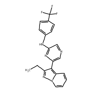 CCc1nn2ccccc2c1-c1cncc(Nc2ccc(C(F)(F)F)cc2)n1